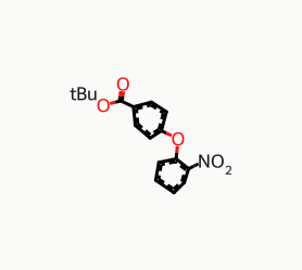 CC(C)(C)OC(=O)c1ccc(Oc2ccccc2[N+](=O)[O-])cc1